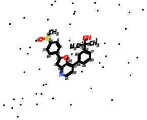 C[S+]([O-])c1ccc(-c2cc3nccc(-c4cccc(C(C)(C)O)c4)c3o2)cc1